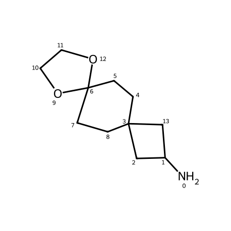 NC1CC2(CCC3(CC2)OCCO3)C1